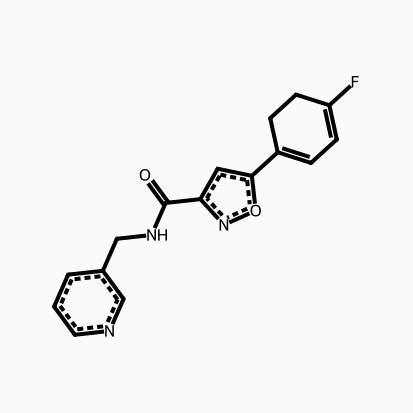 O=C(NCc1cccnc1)c1cc(C2=CC=C(F)CC2)on1